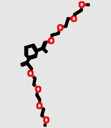 C=C(COCCOCCOCCOC)c1cccc(C(C)=COCCOCCOCCOC)c1